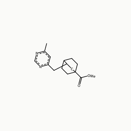 COC(=O)C12CCC(CC1)C(Cc1cc(C)ncn1)C2